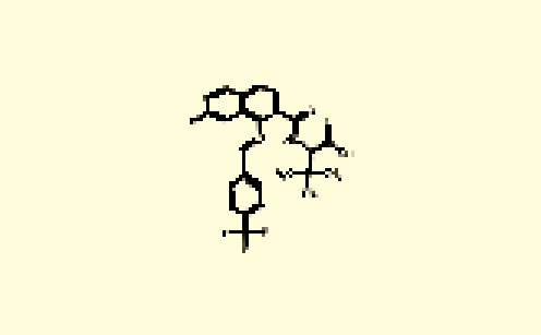 CC(C)(C)[C@@H](NC(=O)c1ccc2ccc(F)cc2c1OCc1ccc(C(F)(F)F)cc1)C(=O)O